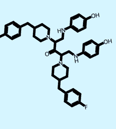 O=C(C(CNc1ccc(O)cc1)N1CCC(Cc2ccc(F)cc2)CC1)C(CNc1ccc(O)cc1)N1CCC(Cc2ccc(F)cc2)CC1